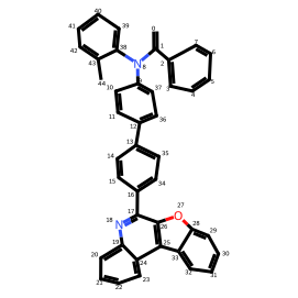 C=C(c1ccccc1)N(c1ccc(-c2ccc(-c3nc4ccccc4c4c3oc3ccccc34)cc2)cc1)c1ccccc1C